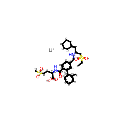 CCS(=O)(=O)CC(CC1CCCCC1)NCc1ccc(C(=O)NC(CCS(C)(=O)=O)C(=O)[O-])c(-c2ccccc2C)c1.[Li+]